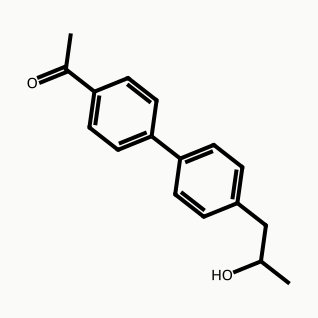 CC(=O)c1ccc(-c2ccc(CC(C)O)cc2)cc1